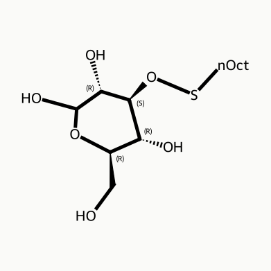 CCCCCCCCSO[C@H]1[C@H](O)[C@@H](CO)OC(O)[C@@H]1O